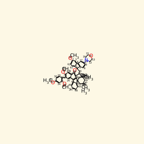 COc1ccc(C2(c3ccc(N4CCOCC4)cc3)CC(C)c3c4c(c5cc(-c6ccc(OC)cc6OC)c(OC)cc5c3O2)-c2ccccc2C42CC(C)(C)CC(C)(C)C2)cc1